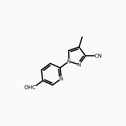 Cc1cn(-c2ccc(C=O)cn2)nc1C#N